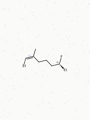 CC/C=C(/C)CCC[C@@H](F)CC